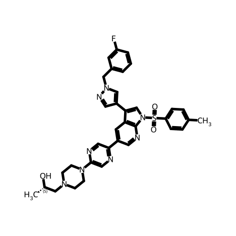 Cc1ccc(S(=O)(=O)n2cc(-c3cnn(Cc4cccc(F)c4)c3)c3cc(-c4cnc(N5CCN(C[C@H](C)O)CC5)cn4)cnc32)cc1